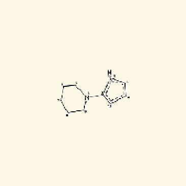 c1c[nH]c(N2CCCCC2)c1